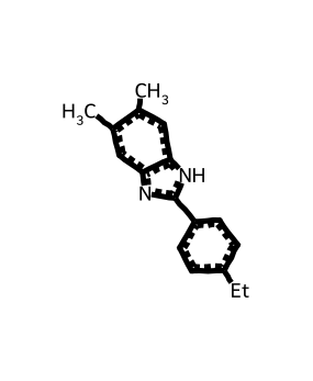 CCc1ccc(-c2nc3cc(C)c(C)cc3[nH]2)cc1